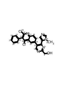 Cn1cncc1-c1nc(CO)ncc1-c1ccc2nc(Cl)c(-c3ccccc3)c(Cl)c2c1